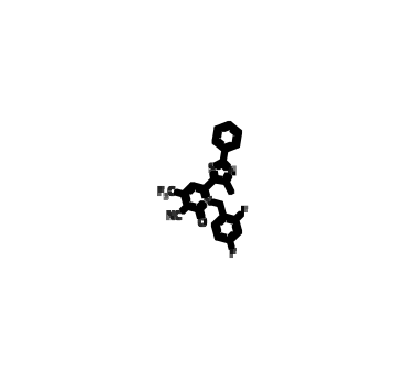 Cc1nc(-c2ccccc2)sc1-c1cc(C(F)(F)F)c(C#N)c(=O)n1Cc1ccc(F)cc1F